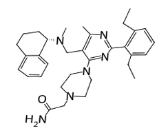 CCc1cccc(CC)c1-c1nc(C)c(CN(C)[C@H]2CCCc3ccccc32)c(N2CCN(CC(N)=O)CC2)n1